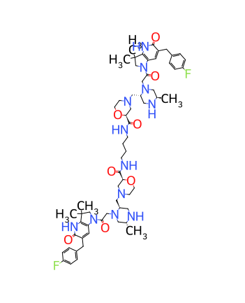 C[C@@H]1CN(CC(=O)N2CC(C)(C)c3[nH]c(=O)c(Cc4ccc(F)cc4)cc32)[C@@H](CN2CCO[C@H](C(=O)NCCCCNC(=O)[C@@H]3CN(C[C@H]4CN[C@H](C)CN4CC(=O)N4CC(C)(C)c5[nH]c(=O)c(Cc6ccc(F)cc6)cc54)CCO3)C2)CN1